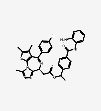 Cc1sc2c(c1C)C(c1ccc(Cl)cc1)=N[C@@H](CC(=O)OC(C)c1ccc(C(=O)Nc3ccccc3N)cc1)c1nnc(C)n1-2